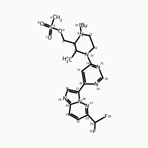 CC1C(COS(C)(=O)=O)N(C(C)(C)C)CCN1c1cc(-c2cnc3ccc(C(F)F)nn23)ncn1